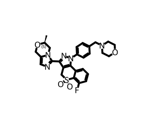 C[C@H]1Cn2c(cnc2-c2nn(-c3ccc(CN4CCOCC4)cc3)c3c2CS(=O)(=O)c2c(F)cccc2-3)CO1